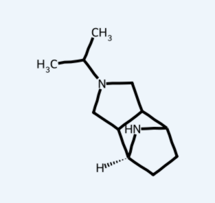 CC(C)N1CC2C3CC[C@H](N3)C2C1